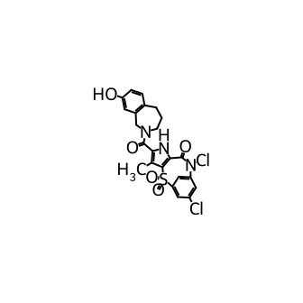 Cc1c(C(=O)N2CCCc3ccc(O)cc3C2)[nH]c2c1S(=O)(=O)c1cc(Cl)cc(c1)N(Cl)C2=O